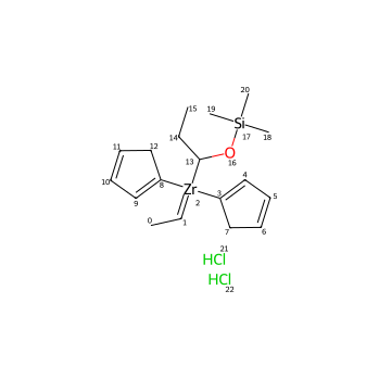 C[CH]=[Zr]([C]1=CC=CC1)([C]1=CC=CC1)[CH](CC)O[Si](C)(C)C.Cl.Cl